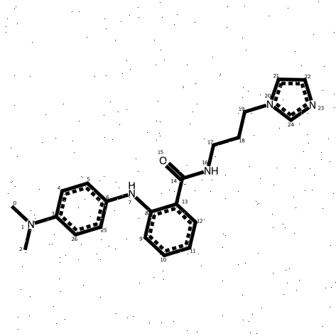 CN(C)c1ccc(Nc2ccccc2C(=O)NCCCn2ccnc2)cc1